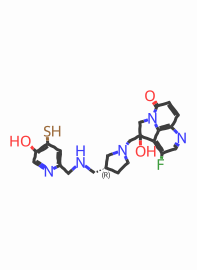 O=c1ccc2ncc(F)c3c2n1CC3(O)CN1CC[C@H](CNCc2cc(S)c(O)cn2)C1